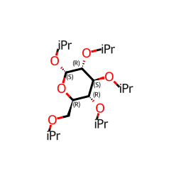 CC(C)OC[C@H]1O[C@H](OC(C)C)[C@H](OC(C)C)[C@@H](OC(C)C)[C@@H]1OC(C)C